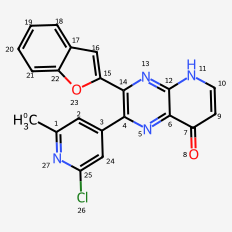 Cc1cc(-c2nc3c(=O)cc[nH]c3nc2-c2cc3ccccc3o2)cc(Cl)n1